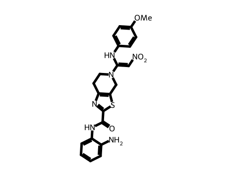 COc1ccc(NC(=C[N+](=O)[O-])N2CCc3nc(C(=O)Nc4ccccc4N)sc3C2)cc1